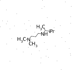 CC(C)C(C)NCCCN(C)C